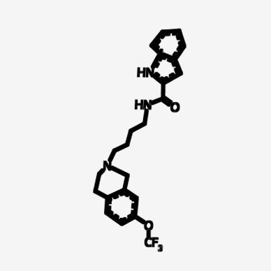 O=C(NCCCCN1CCc2ccc(OC(F)(F)F)cc2C1)c1cc2ccccc2[nH]1